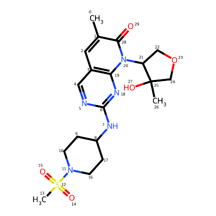 Cc1cc2cnc(NC3CCN(S(C)(=O)=O)CC3)nc2n(C2COCC2(C)O)c1=O